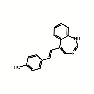 Oc1ccc(C=CC2=CN=CNc3ccccc32)cc1